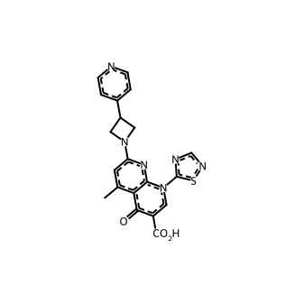 Cc1cc(N2CC(c3ccncc3)C2)nc2c1c(=O)c(C(=O)O)cn2-c1ncns1